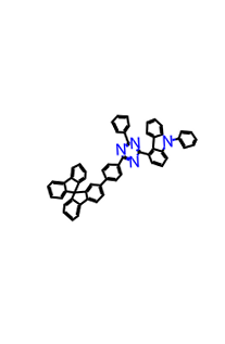 c1ccc(-c2nc(-c3ccc(-c4ccc5c(c4)C4(c6ccccc6-c6ccccc64)c4ccccc4-5)cc3)nc(-c3cccc4c3c3ccccc3n4-c3ccccc3)n2)cc1